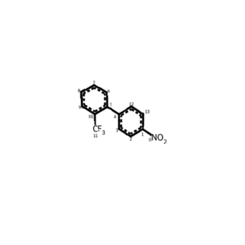 O=[N+]([O-])c1ccc(-c2ccc[c]c2C(F)(F)F)cc1